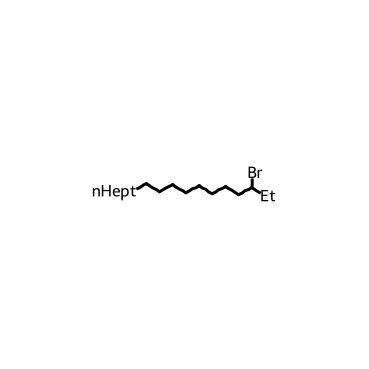 CCCCCCCCCCCCCCCC(Br)CC